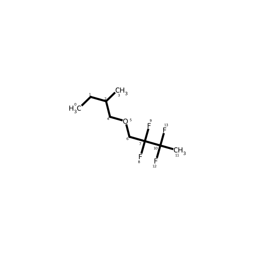 CCC(C)COCC(F)(F)C(C)(F)F